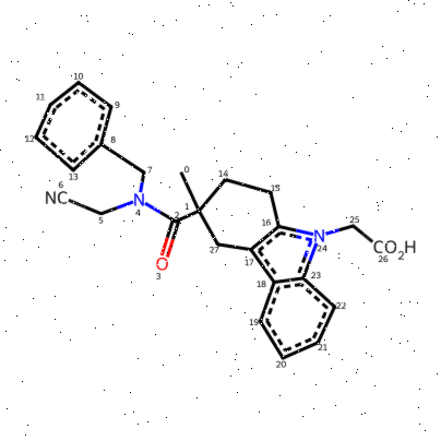 CC1(C(=O)N(CC#N)Cc2ccccc2)CCc2c(c3ccccc3n2CC(=O)O)C1